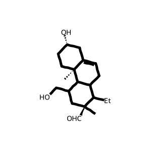 CCC1C2CC=C3C[C@@H](O)CC[C@]3(C)C2C(CO)C[C@]1(C)C=O